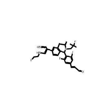 CC1Cc2cc(/C(C=N)=C/NCCF)ccc2C(c2c(F)cc(/C=C/C=O)cc2F)N1CC(C)(C)F